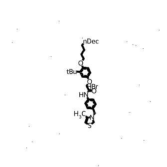 Br.CCCCCCCCCCCCCCOc1ccc(OCC(=O)Nc2ccc(CN3CSC=C3C)cc2)cc1C(C)(C)C